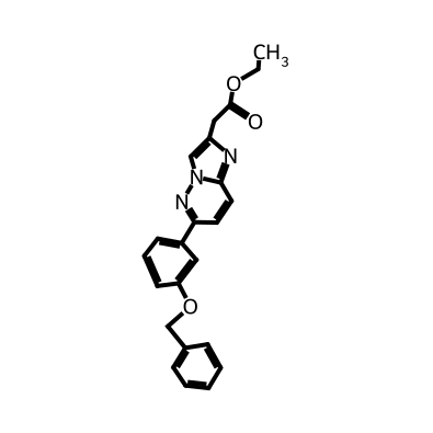 CCOC(=O)Cc1cn2nc(-c3cccc(OCc4ccccc4)c3)ccc2n1